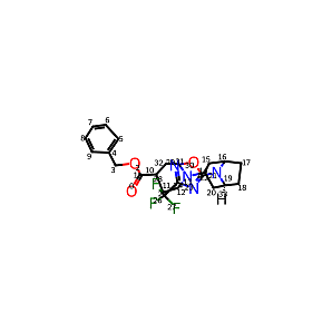 O=C(OCc1ccccc1)C1CCN(C2CC3CC[C@@H](C2)N3c2nc(C(F)(F)F)no2)CC1